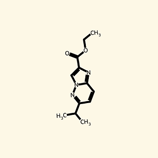 CCOC(=O)c1cn2nc(C(C)C)ccc2n1